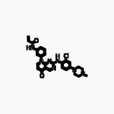 C=CC(=O)Nc1cccc(-n2ccc(=O)c3cnc(Nc4ccc(N5CCN(C)CC5)cc4Cl)nc32)c1